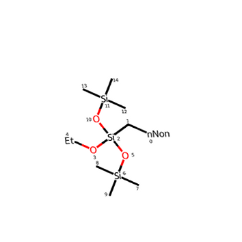 CCCCCCCCCC[Si](OCC)(O[Si](C)(C)C)O[Si](C)(C)C